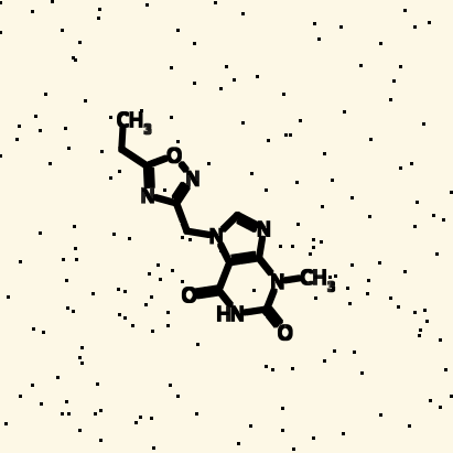 CCc1nc(Cn2cnc3c2c(=O)[nH]c(=O)n3C)no1